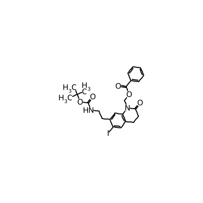 CC(C)(C)OC(=O)NCCc1cc2c(cc1I)CCC(=O)N2COC(=O)c1ccccc1